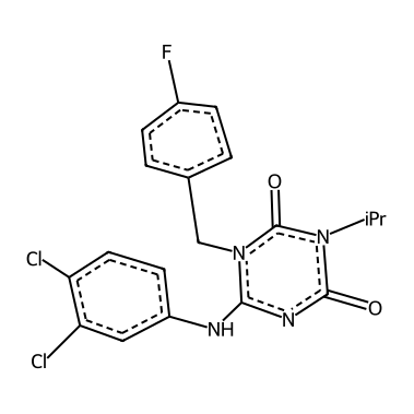 CC(C)n1c(=O)nc(Nc2ccc(Cl)c(Cl)c2)n(Cc2ccc(F)cc2)c1=O